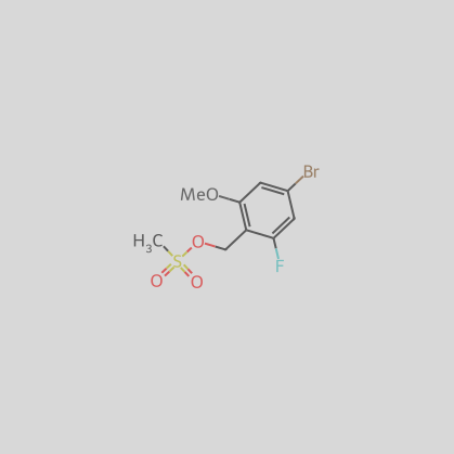 COc1cc(Br)cc(F)c1COS(C)(=O)=O